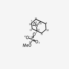 COS(=O)(=O)[O-].C[N+]1(C)C2CCCC1CCC2